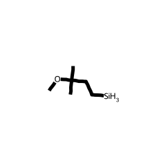 COC(C)(C)CC[SiH3]